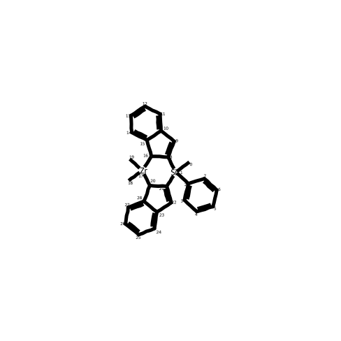 C[Si]1(c2ccccc2)C2=Cc3ccccc3[CH]2[Zr]([CH3])([CH3])[CH]2C1=Cc1ccccc12